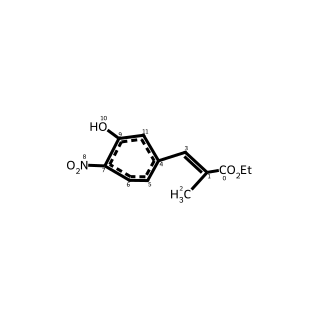 CCOC(=O)/C(C)=C/c1ccc([N+](=O)[O-])c(O)c1